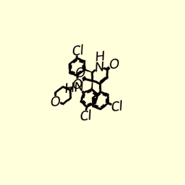 O=C1C=C(c2cccc(Cl)c2)[C@]2(C(=O)Nc3cc(Cl)ccc32)[C@@H](c2cc(Cl)ccc2OC2CCOCC2)N1